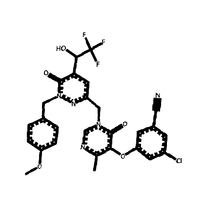 COc1ccc(Cn2nc(Cn3cnc(C)c(Oc4cc(Cl)cc(C#N)c4)c3=O)cc(C(O)C(F)(F)F)c2=O)cc1